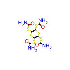 NC(=O)SC1=C(SC(N)=O)SC(SC(N)=O)=C(SC(N)=O)S1